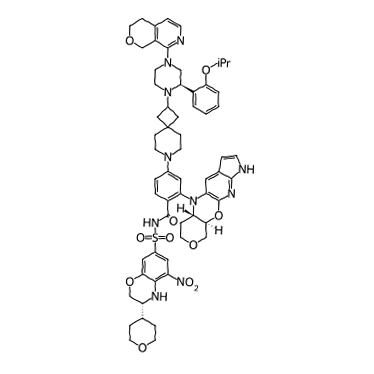 CC(C)Oc1ccccc1[C@@H]1CN(c2nccc3c2COCC3)CCN1C1CC2(CCN(c3ccc(C(=O)NS(=O)(=O)c4cc5c(c([N+](=O)[O-])c4)N[C@H](C4CCOCC4)CO5)c(N4c5cc6cc[nH]c6nc5O[C@H]5COCC[C@@H]54)c3)CC2)C1